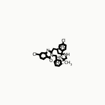 CC(Cc1nc2cc(Cl)ccc2c(=O)n1Cc1ccccc1)CC1(c2ccc(Cl)cc2)NCC(C)(C)N1